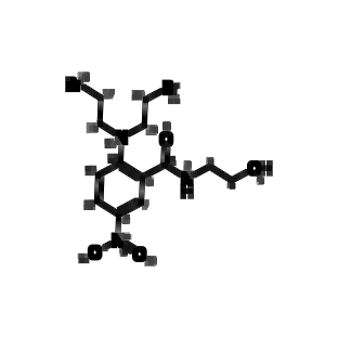 O=C(NCCO)c1cc([N+](=O)[O-])ccc1N(CCBr)CCBr